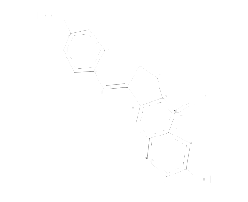 O=C(O)c1ccc(C=C2CCc3c2oc2ccc(O)cc2c3=O)cc1